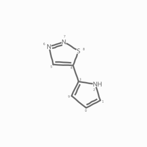 c1c[nH]c(-c2cnns2)c1